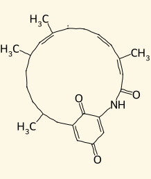 CC1=CC(C)CCCC(C)CC2=CC(=O)C=C(NC(=O)C=C(C)C=CC[CH]1)C2=O